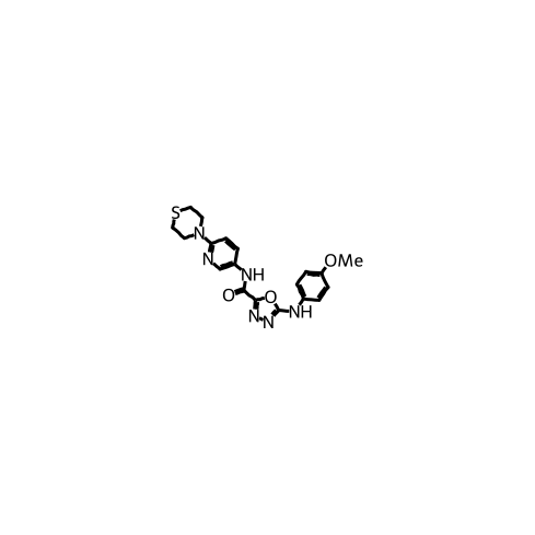 COc1ccc(Nc2nnc(C(=O)Nc3ccc(N4CCSCC4)nc3)o2)cc1